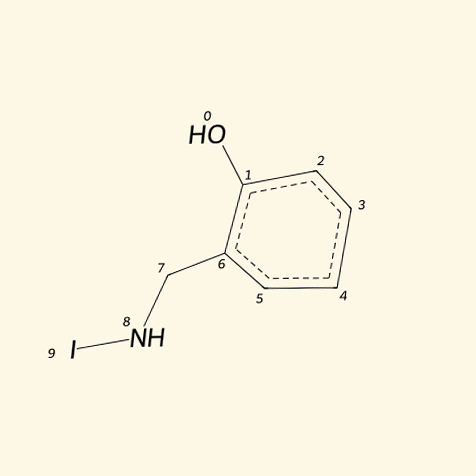 Oc1ccccc1CNI